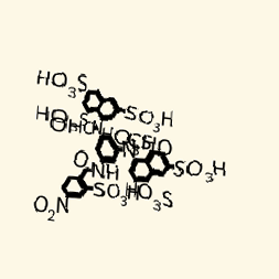 O=CN(c1cc(NC(=O)c2ccc([N+](=O)[O-])cc2S(=O)(=O)O)cc(N(C=O)c2cc(S(=O)(=O)O)cc3cc(S(=O)(=O)O)cc(S(=O)(=O)O)c23)c1)c1cc(S(=O)(=O)O)cc2cc(S(=O)(=O)O)cc(S(=O)(=O)O)c12